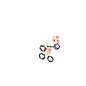 CS(=O)(=O)OC1CC2CC1C(C(F)(F)C(F)(F)S(=O)(=O)OS(c1ccccc1)(c1ccccc1)c1ccccc1)C2